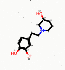 Oc1ccc(CCN2CCCC(O)C2)cc1O